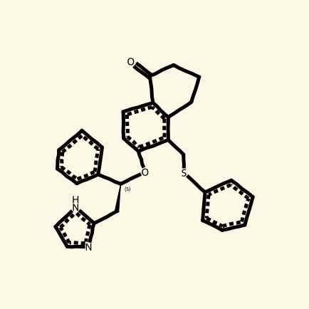 O=C1CCCc2c1ccc(O[C@@H](Cc1ncc[nH]1)c1ccccc1)c2CSc1ccccc1